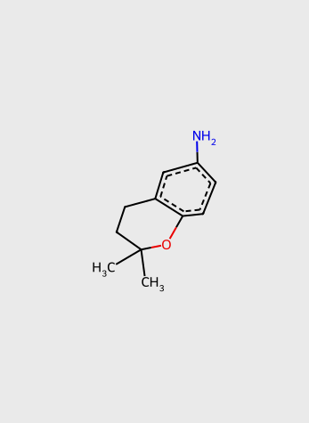 CC1(C)CCc2cc(N)ccc2O1